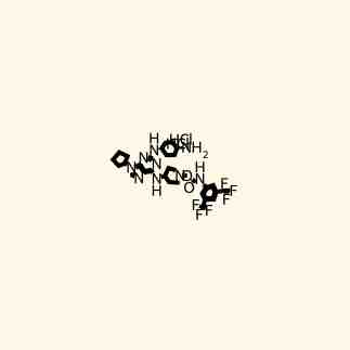 Cl.Cl.N[C@H]1CC[C@H](Nc2nc(NC3CCN(OC(=O)Nc4cc(C(F)(F)F)cc(C(F)(F)F)c4)CC3)c3ncn(C4CCCC4)c3n2)CC1